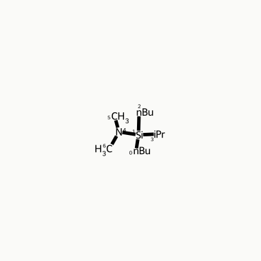 CCCC[Si](CCCC)(C(C)C)N(C)C